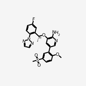 COc1ccc(S(C)(=O)=O)cc1-c1cnc(N)c(O[C@H](C)c2cc(F)ccc2-n2nccn2)c1